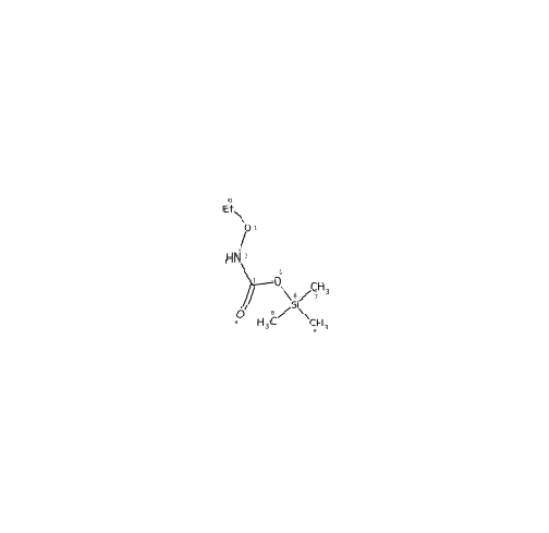 CCONC(=O)O[Si](C)(C)C